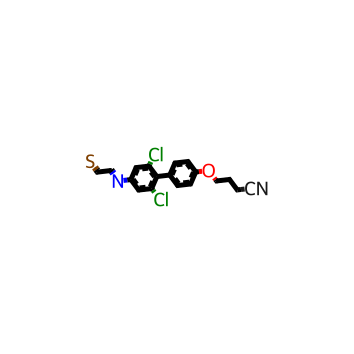 N#CCCCOc1ccc(-c2c(Cl)cc(N=CC=S)cc2Cl)cc1